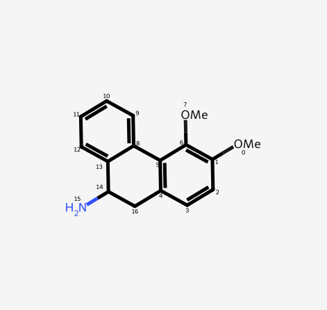 COc1ccc2c(c1OC)-c1ccccc1C(N)C2